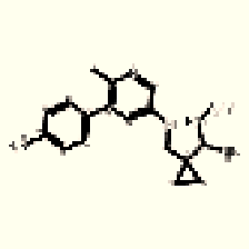 Cc1ncc(NCC2(C(NC(=O)O)C(C)(C)C)CC2)cc1-c1ccc(N)cc1